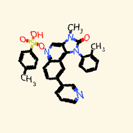 Cc1ccc(S(=O)(=O)O)cc1.Cc1ccccc1-n1c(=O)n(C)c2cnc3ccc(-c4cccnc4)cc3c21